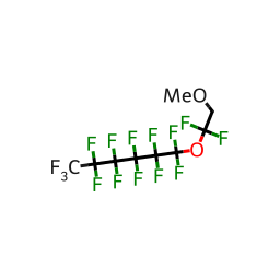 COCC(F)(F)OC(F)(F)C(F)(F)C(F)(F)C(F)(F)C(F)(F)C(F)(F)F